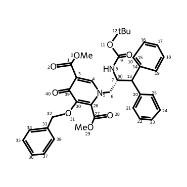 COC(=O)c1cn(C[C@H](NC(=O)OC(C)(C)C)C(c2ccccc2)c2ccccc2)c(C(=O)OC)c(OCc2ccccc2)c1=O